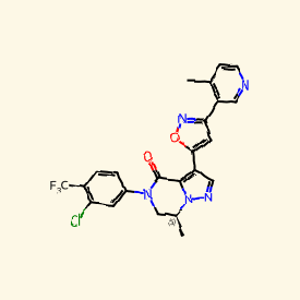 Cc1ccncc1-c1cc(-c2cnn3c2C(=O)N(c2ccc(C(F)(F)F)c(Cl)c2)C[C@@H]3C)on1